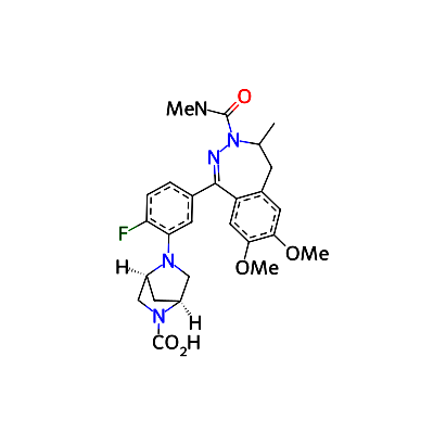 CNC(=O)N1N=C(c2ccc(F)c(N3C[C@@H]4C[C@H]3CN4C(=O)O)c2)c2cc(OC)c(OC)cc2CC1C